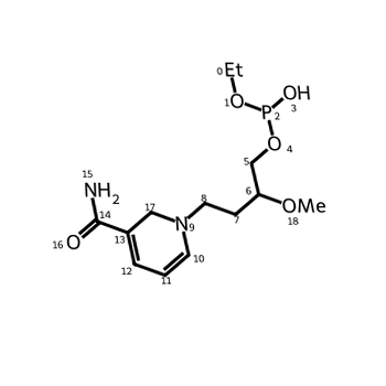 CCOP(O)OCC(CCN1C=CC=C(C(N)=O)C1)OC